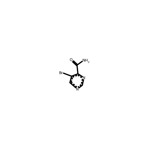 NC(=O)c1ncncc1Br